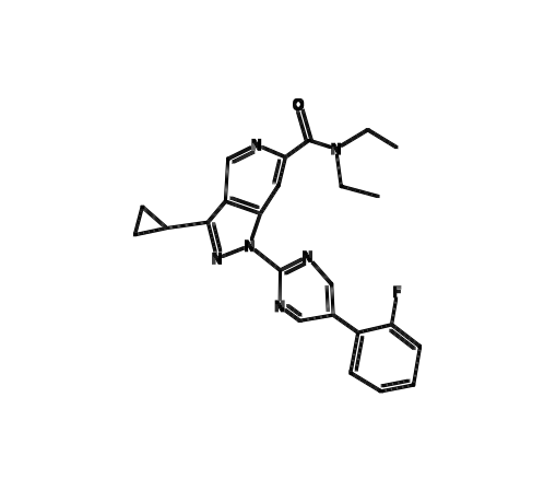 CCN(CC)C(=O)c1cc2c(cn1)c(C1CC1)nn2-c1ncc(-c2ccccc2F)cn1